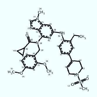 CCc1cc(C2=CCN(S(C)(=O)=O)CC2)ccc1Nc1cc2c(ncn2C)c(N(Cc2ccc(OC)cc2OC)C(=O)C2CC2)n1